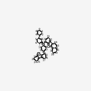 c1ccc(-c2cccc(N(c3ccc(-c4cccc5c4oc4ccccc45)cc3)c3cccc4c3sc3c5ccccc5ccc43)c2)cc1